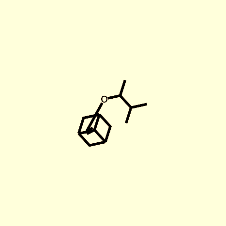 CC(C)C(C)OC1=C2C3CC(C1)CC2C3